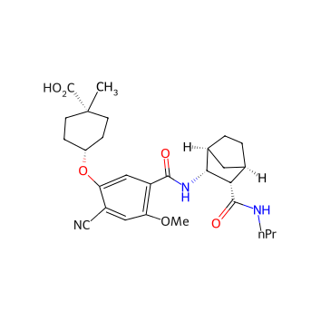 CCCNC(=O)[C@H]1[C@@H]2CC[C@@H](C2)[C@H]1NC(=O)c1cc(O[C@H]2CC[C@@](C)(C(=O)O)CC2)c(C#N)cc1OC